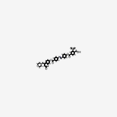 O=C(Oc1ccc2c(CN3CCOCC3)cc(=O)oc2c1)c1ccc(/N=N/c2ccc(OC(=O)c3ccc(CO)c([N+](=O)[O-])c3)cc2)cc1